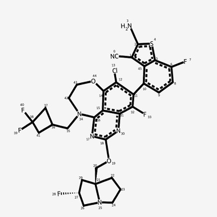 N#Cc1c(N)sc2c(F)ccc(-c3c(Cl)c4c5c(nc(OC[C@@]67CCCN6C[C@H](F)C7)nc5c3F)N(CC3CC(F)(F)C3)CCO4)c12